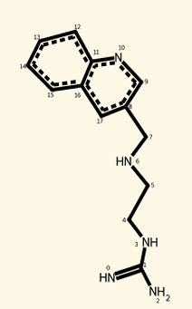 N=C(N)NCCNCc1cnc2ccccc2c1